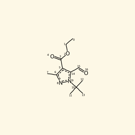 CCOC(=O)c1c(C)nn(C(C)(C)C)c1C=O